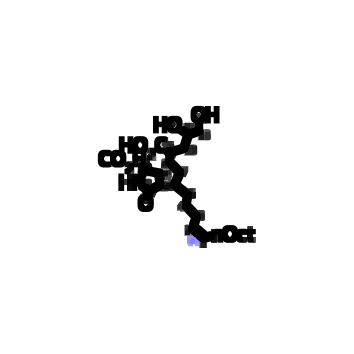 CCCCCCCC/C=C\CCCCCCC(CC(O)CO)C(=O)O.O=C1CC[C@@H](C(=O)O)N1